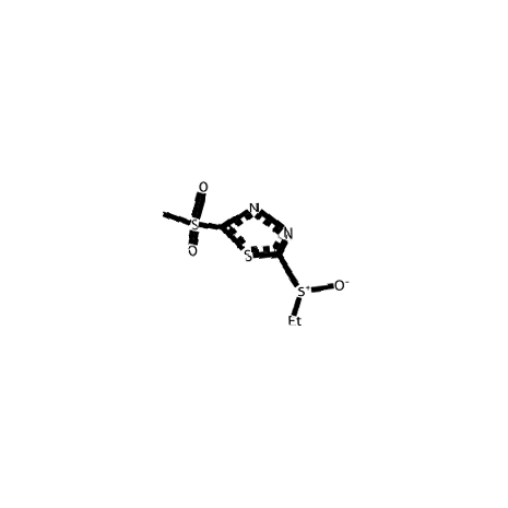 CC[S+]([O-])c1nnc(S(C)(=O)=O)s1